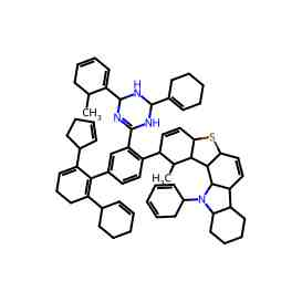 CC1CC=CC=C1C1N=C(c2cc(C3=C(C4C=CCCC4)CCC=C3C3C=CCC3)ccc2C2C=CC3SC4C=CC5C6CCCCC6N(C6C=CC=CC6)C5C4C3C2C)NC(C2=CCCCC2)N1